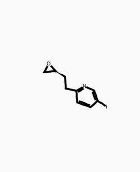 Ic1ccc(CC[C@H]2CO2)nc1